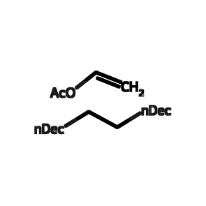 C=COC(C)=O.CCCCCCCCCCCCCCCCCCCCCC